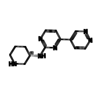 c1cc(-c2ccnc(N[C@H]3CCCNC3)n2)cnn1